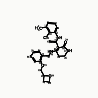 Cc1cccc(NC(=S)C2=C(NCc3ccncc3OCC3CCO3)CCNC2=O)c1Cl